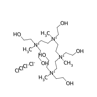 C[N+](CCO)(CCO)CC[N+](C)(CCO)CC[N+](C)(CCO)CC[N+](C)(CCO)CCO.[Cl-].[Cl-].[Cl-].[Cl-]